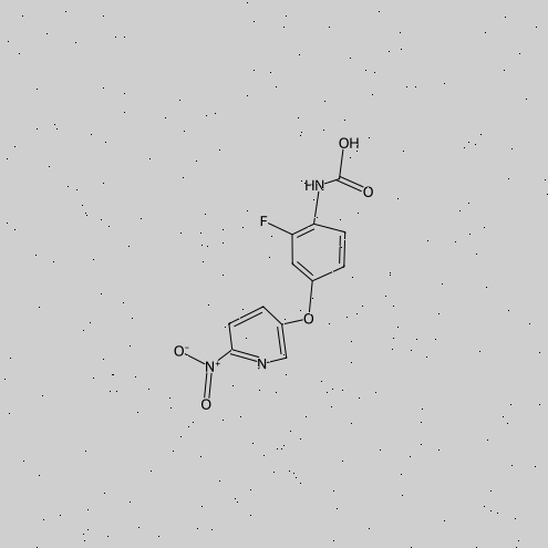 O=C(O)Nc1ccc(Oc2ccc([N+](=O)[O-])nc2)cc1F